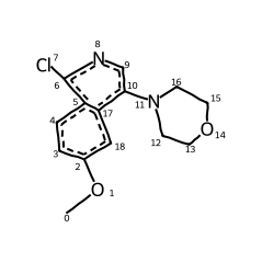 COc1ccc2c(Cl)ncc(N3CCOCC3)c2c1